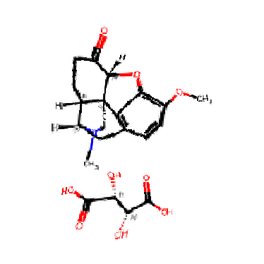 COc1ccc2c3c1O[C@H]1C(=O)CC[C@H]4[C@@H](C2)N(C)CC[C@]314.O=C(O)[C@H](O)[C@@H](O)C(=O)O